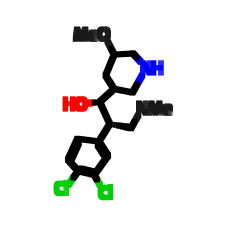 CNC[C@@H](c1ccc(Cl)c(Cl)c1)[C@@H](O)C1CNCC(OC)C1